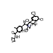 Cc1cc(C2=NOC(c3cc(Cl)cc(Cl)c3)(C(F)(F)F)/C2=N/O)ccc1C(=O)NC1CSC1